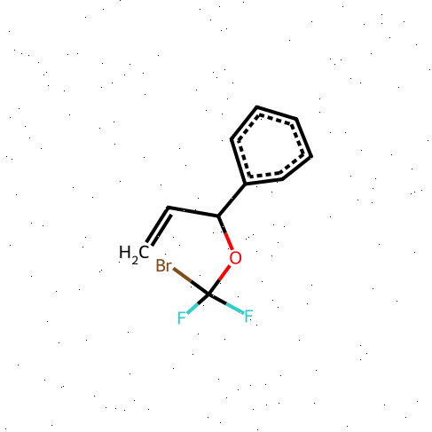 C=CC(OC(F)(F)Br)c1ccccc1